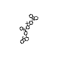 CC1(C)c2cc(N(c3ccccc3)c3ccc(C4=CCCc5c4sc4ccccc54)cc3)ccc2-c2ccc(-n3c4c(c5ccccc53)CCC=C4)cc21